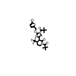 CC(C)(C)C(=O)N1CCC(C(F)(F)F)C(c2nc(OCc3ccc(Cl)s3)n(C(=O)C(C)(C)C)n2)C1=O